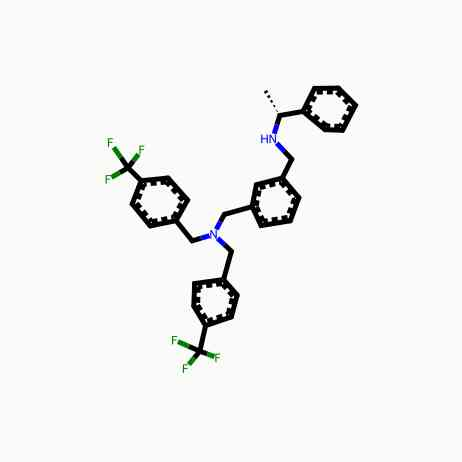 C[C@@H](NCc1cccc(CN(Cc2ccc(C(F)(F)F)cc2)Cc2ccc(C(F)(F)F)cc2)c1)c1ccccc1